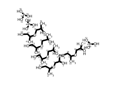 CC(O)COC(C)CO.CC(O)COC(C)CO.CC(O)COC(C)CO.CC(O)COC(C)CO.CC(O)COC(C)CO.OP(O)O.OP(O)O.OP(O)O